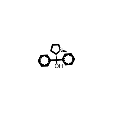 CN1CCC[C@@H]1C(O)(c1ccccc1)c1ccccc1